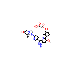 COc1cc2[nH]nc(-c3ccc(N4CCN5C[C@H](O)C[C@H]5C4)nc3)c2nc1-c1cccc(C)c1C.O=C(O)CC(=O)O